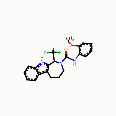 COc1ccccc1NC(=O)N1CCCc2c([nH]c3ccccc23)C1C(F)(F)F